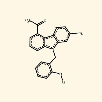 CCOc1ccccc1Cn1c2cc(C)c[c]c2c2c(C(N)=O)cccc21